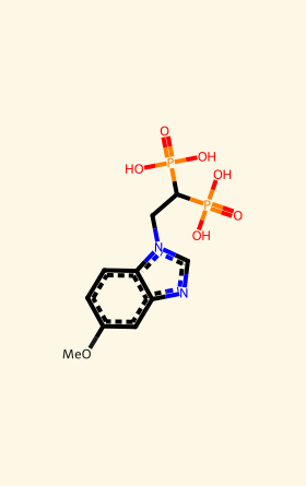 COc1ccc2c(c1)ncn2CC(P(=O)(O)O)P(=O)(O)O